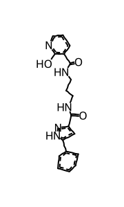 O=C(NCCCNC(=O)c1cccnc1O)c1cc(-c2ccccc2)[nH]n1